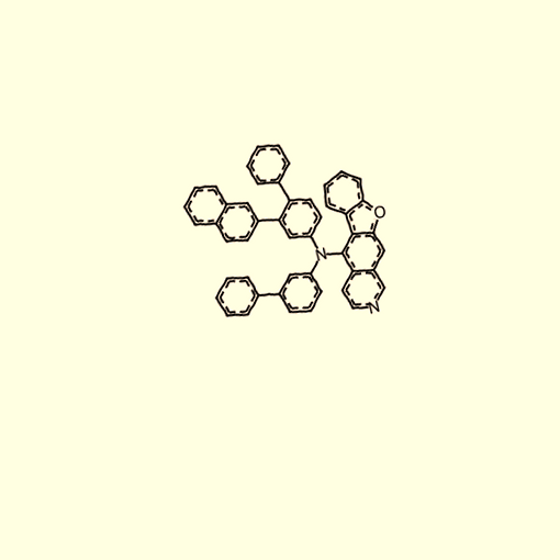 c1ccc(-c2cccc(N(c3ccc(-c4ccccc4)c(-c4ccc5ccccc5c4)c3)c3c4ccncc4cc4oc5ccccc5c34)c2)cc1